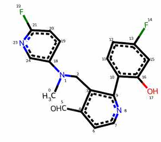 CN(Cc1c(C=O)ccnc1-c1ccc(F)cc1O)c1ccc(F)nc1